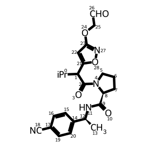 CC(C)C(C(=O)N1CCC[C@H]1C(=O)N[C@@H](C)c1ccc(C#N)cc1)c1cc(OCC=O)no1